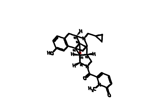 Cn1c(C(=O)N2C[C@H]3C[C@@]45CC[C@@H]2[C@@H]3[C@@]42CCN(CC3CC3)[C@@H]5Cc3ccc(O)cc32)cccc1=O